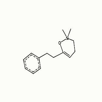 C[Si]1(C)CCC=C(CCc2ccccc2)O1